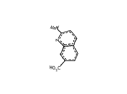 CNc1ccc2ccc(C(=O)O)cc2n1